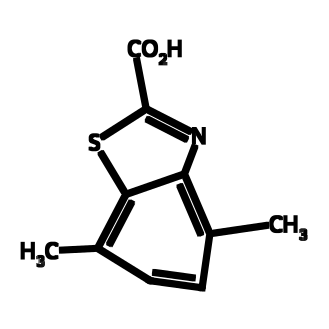 Cc1ccc(C)c2sc(C(=O)O)nc12